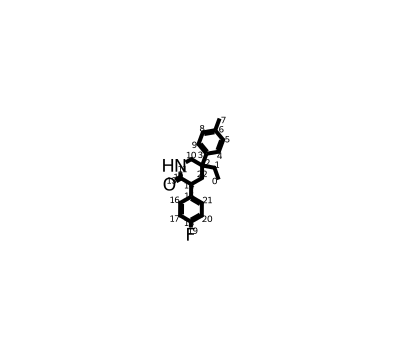 CCC1(c2ccc(C)cc2)CNC(=O)C(c2ccc(F)cc2)C1